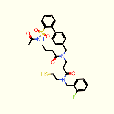 CCCC(=O)N(CCC(=O)N(CCS)Cc1ccccc1F)Cc1ccc(-c2ccccc2S(=O)(=O)NC(C)=O)cc1